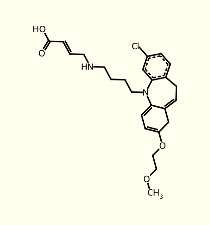 COCCOC1=CC=C2C(=CCc3ccc(Cl)cc3N2CCCCNC/C=C/C(=O)O)C1